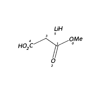 COC(=O)CC(=O)O.[LiH]